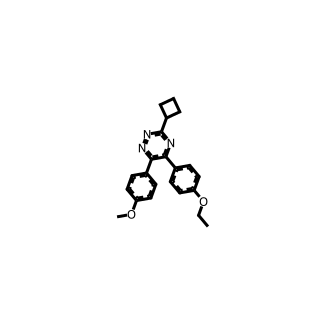 CCOc1ccc(-c2nc(C3CCC3)nnc2-c2ccc(OC)cc2)cc1